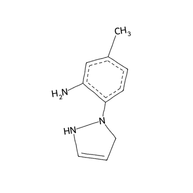 Cc1ccc(N2CC=CN2)c(N)c1